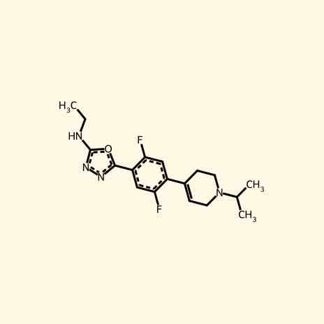 CCNc1nnc(-c2cc(F)c(C3=CCN(C(C)C)CC3)cc2F)o1